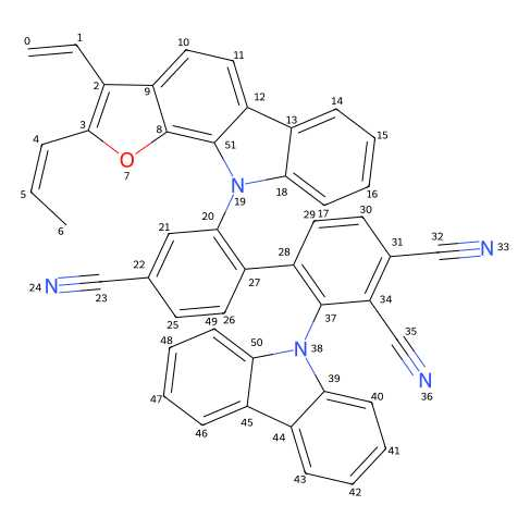 C=Cc1c(/C=C\C)oc2c1ccc1c3ccccc3n(-c3cc(C#N)ccc3-c3ccc(C#N)c(C#N)c3-n3c4ccccc4c4ccccc43)c12